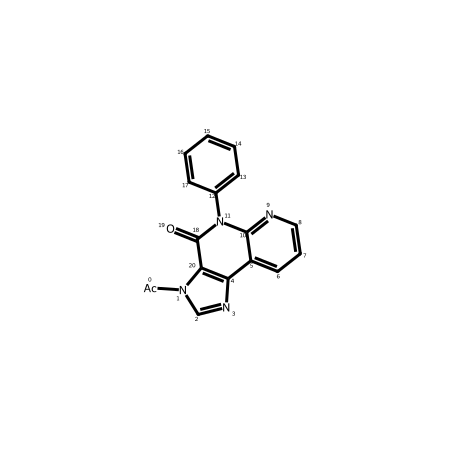 CC(=O)n1cnc2c3cccnc3n(-c3ccccc3)c(=O)c21